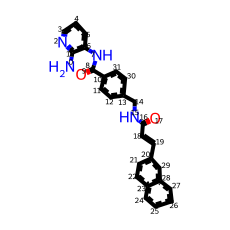 Nc1ncccc1NC(=O)c1ccc(CNC(=O)/C=C/c2ccc3ccccc3c2)cc1